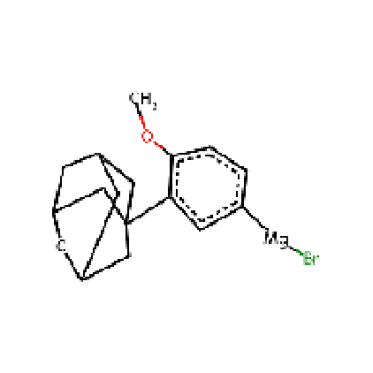 COc1cc[c]([Mg][Br])cc1C12CC3CC(CC(C3)C1)C2